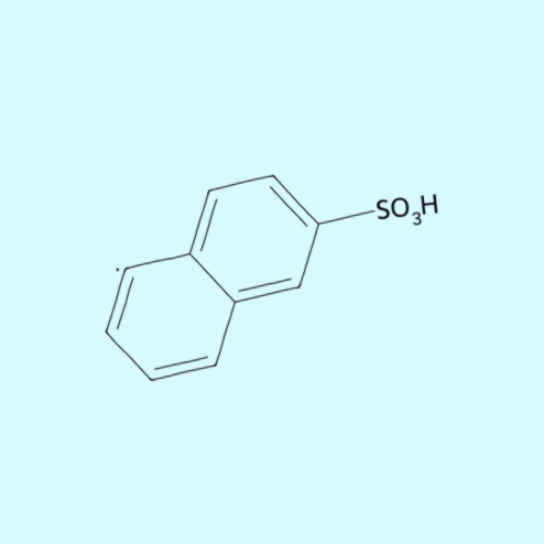 O=S(=O)(O)c1ccc2[c]cccc2c1